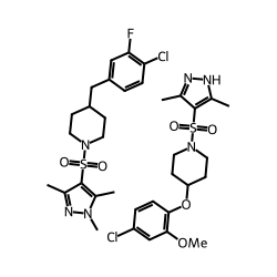 COc1cc(Cl)ccc1OC1CCN(S(=O)(=O)c2c(C)n[nH]c2C)CC1.Cc1nn(C)c(C)c1S(=O)(=O)N1CCC(Cc2ccc(Cl)c(F)c2)CC1